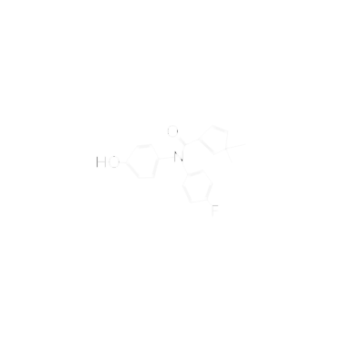 CC1(C)C=CC(C(=O)N(c2ccc(O)cc2)c2ccc(F)cc2)=C1